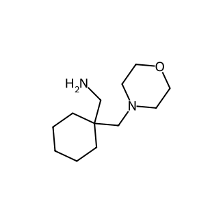 NCC1(CN2CCOCC2)CCCCC1